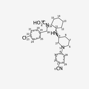 N#Cc1ccc(N2CCC[C@H](N[C@@H]3CCCC[C@H]3N(Cc3ccc(Cl)cc3)C(=O)O)C2)cc1